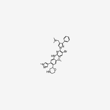 COc1cc(C2CNCCO2)c(-c2cnn(C)c2)cc1Nc1ncc(Br)c(-n2cc(CN(C)C)c(-c3ccccc3)n2)n1